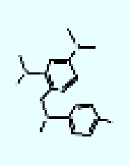 CN(C)c1ccc(CN(C)c2ccc(I)cc2)c(N(C)I)c1